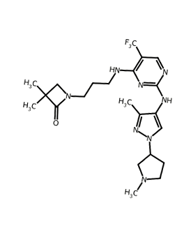 Cc1nn(C2CCN(C)C2)cc1Nc1ncc(C(F)(F)F)c(NCCCN2CC(C)(C)C2=O)n1